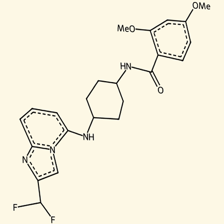 COc1ccc(C(=O)NC2CCC(Nc3cccc4nc(C(F)F)cn34)CC2)c(OC)c1